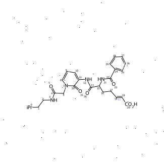 CC(C)CCNC(=O)Cn1cccc(NC(=O)C(CC/C=C/C(=O)O)NC(=O)c2ccccc2)c1=O